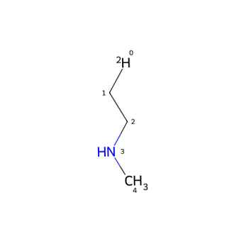 [2H]CCNC